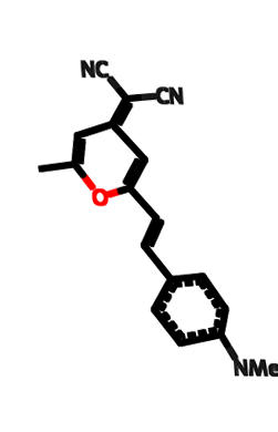 CNc1ccc(C=CC2=CC(=C(C#N)C#N)C=C(C)O2)cc1